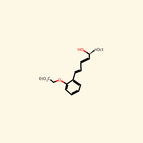 CCCCCCCC[C@H](O)/C=C/C=C/c1ccccc1OCC(=O)OCC